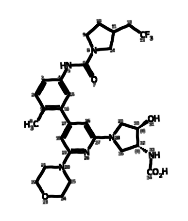 Cc1ccc(NC(=O)N2CCC(CC(F)(F)F)C2)cc1-c1cc(N2CCOCC2)nc(N2C[C@@H](O)[C@H](NC(=O)O)C2)c1